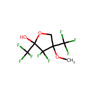 COC1(C(F)(F)F)COC(O)(C(F)(F)F)C1(F)F